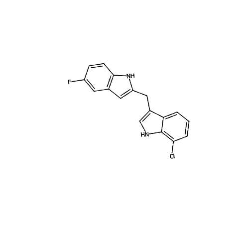 Fc1ccc2[nH]c(Cc3c[nH]c4c(Cl)cccc34)cc2c1